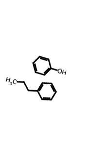 CCCc1ccccc1.Oc1ccccc1